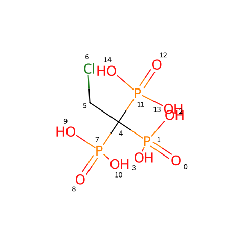 O=P(O)(O)C(CCl)(P(=O)(O)O)P(=O)(O)O